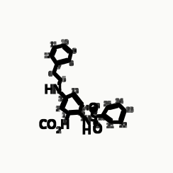 O=C(O)c1cc(NCCc2ccccc2)ccc1NS(=O)(=O)c1ccccc1